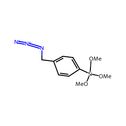 CO[Si](OC)(OC)c1ccc(CN=[N+]=[N-])cc1